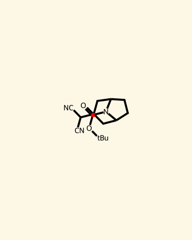 CC(C)(C)OC(=O)N1C2CCC1CC(C(C#N)C#N)C2